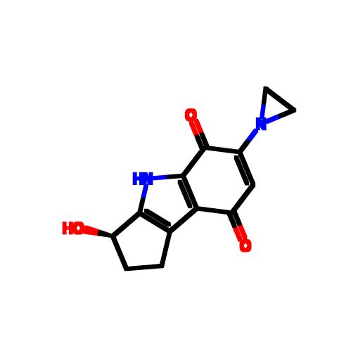 O=C1C(N2CC2)=CC(=O)c2c1[nH]c1c2CC[C@H]1O